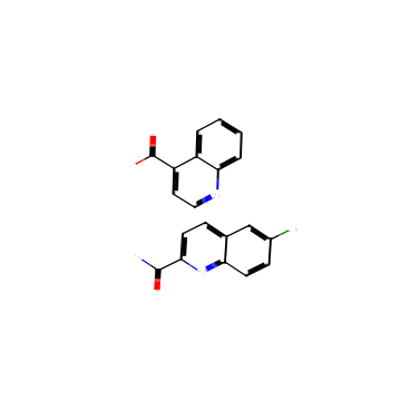 NC(=O)c1ccc2cc(Br)ccc2n1.O=C(O)c1ccnc2ccccc12